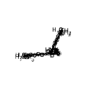 CC(C)(C)OC(=O)CCOCCOCCOCCOCCCCC(=O)CN(CC(=O)NCCOCCOCCOCCOCCC(=O)OC(C)(C)C)C(=O)OCC1c2ccccc2-c2ccccc21